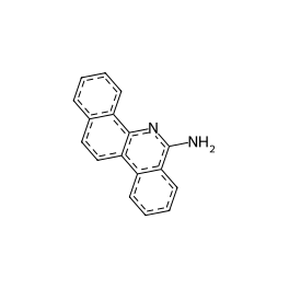 Nc1nc2c3ccccc3ccc2c2ccccc12